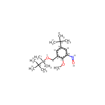 COc1c(CO[Si](C)(C)C(C)(C)C)cc(C(C)(C)C)cc1N=O